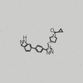 O=C(C1CC1)N1CC[C@H](Cn2cnnc2-c2ccc(-c3ccc4cn[nH]c4c3)cc2)C1